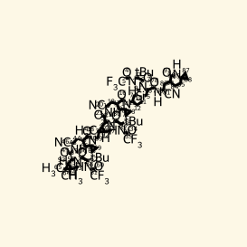 CC(C)(C)C(NC(=O)C(F)(F)F)C(=O)N1C[Si]2(CCC(N3C(=O)C(CC(C#N)NC(=O)C4C5[C@@H](CN4C(=O)C(NC(=O)C(F)(F)F)C(C)(C)C)C5(C)CN4C(=O)[C@H](C[C@@H](C#N)NC(=O)[C@@H]5[C@@H]6[C@H](CN5C(=O)[C@@H](NC(=O)C(F)(F)F)C(C)(C)C)C6(C)C)CC45CC5)CC34CC4)C2)CC1C(=O)NC(C#N)CC1CCC2(CC2)NC1=O